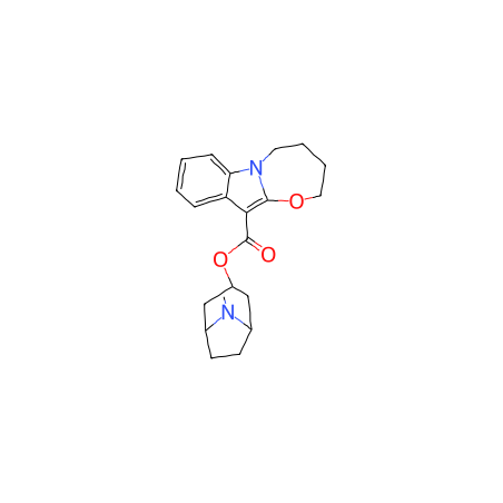 CN1C2CCC1CC(OC(=O)c1c3n(c4ccccc14)CCCCO3)C2